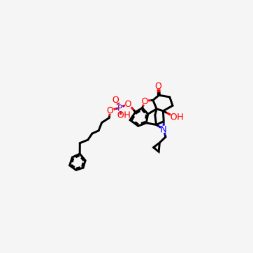 O=C1CCC2(O)C3N(CC4CC4)C34CC23c2c4ccc(OP(=O)(O)OCCCCCCc4ccccc4)c2OC13